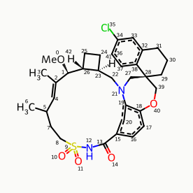 CO[C@@H]1/C(C)=C/C(C)CCS(=O)(=O)NC(=O)c2ccc3c(c2)N(C[C@@H]2CC[C@H]21)C[C@@]1(CCCc2cc(Cl)ccc21)CO3